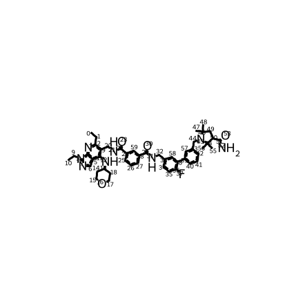 CCc1nc2c(cnn2CC)c(NC2CCOCC2)c1CNC(=O)c1cccc(C(=O)NCc2ccc(F)c(-c3cccc(CN4C(C)(C)CC(C(N)=O)C4(C)C)c3)c2)c1